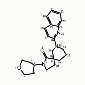 O=C1N(C2CCOCC2)CC[C@@]12CCCN(c1ccc3ccccc3n1)C2